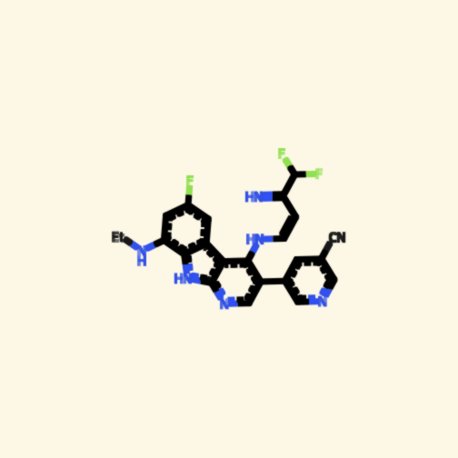 CCNc1cc(F)cc2c1[nH]c1ncc(-c3cncc(C#N)c3)c(N/C=C\C(=N)C(F)F)c12